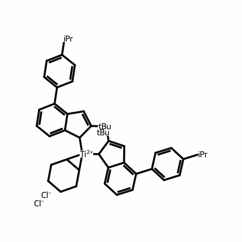 CC(C)c1ccc(-c2cccc3c2C=C(C(C)(C)C)[CH]3[Ti+2]2([CH]3C(C(C)(C)C)=Cc4c(-c5ccc(C(C)C)cc5)cccc43)[CH]3CCCC[CH]32)cc1.[Cl-].[Cl-]